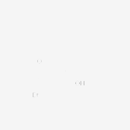 CCC1(C)CC(O)(c2ccccc2)CO1